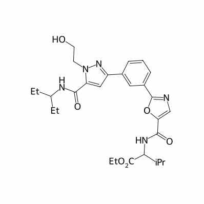 CCOC(=O)C(NC(=O)c1cnc(-c2cccc(-c3cc(C(=O)NC(CC)CC)n(CCO)n3)c2)o1)C(C)C